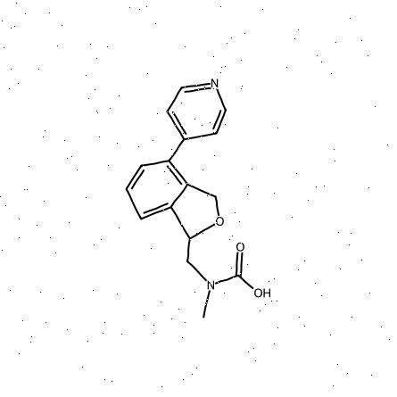 CN(CC1OCc2c(-c3ccncc3)cccc21)C(=O)O